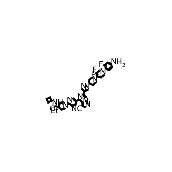 CCC1(C(=O)NC2CCC2)CCN(c2ccc(-c3nc(-c4cnn(C5CCN([C@@H]6CCN(c7ccc(N)cc7F)CC6(F)F)CC5)c4)cn4ncc(C#N)c34)cn2)CC1